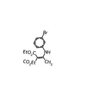 CCOC(=O)C(C(=O)OCC)=C(C)Nc1cccc(Br)c1